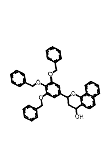 OC1CC(c2cc(OCc3ccccc3)c(OCc3ccccc3)c(OCc3ccccc3)c2)Oc2c1ccc1ccccc21